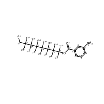 Nc1cccc(C(=O)OC(F)(F)C(F)(F)C(F)(F)C(F)(F)C(F)(F)C(F)(F)C(F)(F)CF)c1